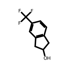 OC1Cc2ccc(C(F)(F)F)cc2C1